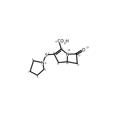 O=C(O)C1=C(SN2CCCC2)CC2CC(=O)N12